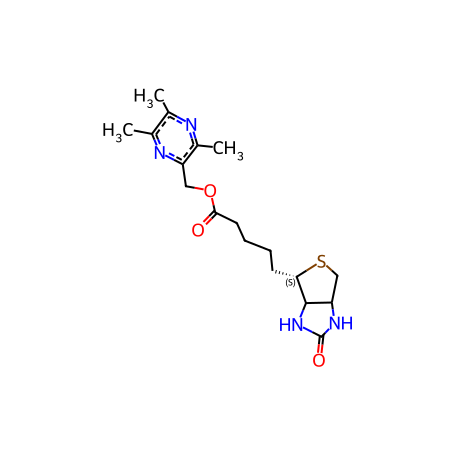 Cc1nc(C)c(COC(=O)CCCC[C@@H]2SCC3NC(=O)NC32)nc1C